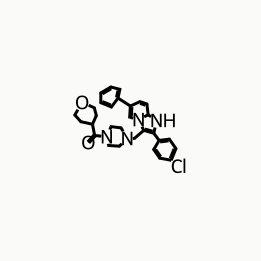 O=C(C1CCOCC1)N1CCN(CC2=C(c3ccc(Cl)cc3)NC3C=CC(c4ccccc4)=CN23)CC1